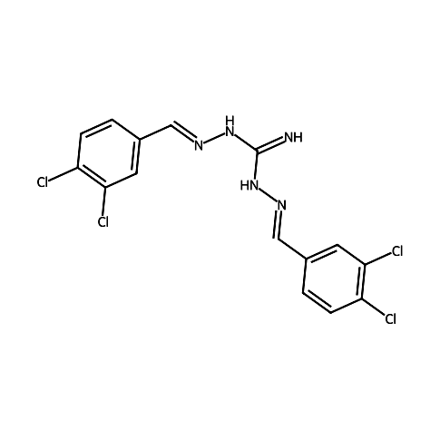 N=C(N/N=C/c1ccc(Cl)c(Cl)c1)N/N=C/c1ccc(Cl)c(Cl)c1